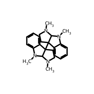 CN1CCC2(C34CCN(C)C3N(C)c3ccccc34)c3ccccc3N(C)C12